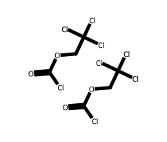 O=C(Cl)OCC(Cl)(Cl)Cl.O=C(Cl)OCC(Cl)(Cl)Cl